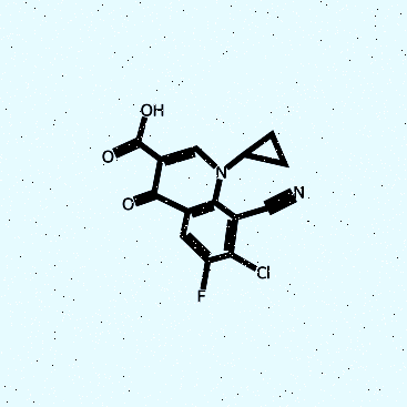 N#Cc1c(Cl)c(F)cc2c(=O)c(C(=O)O)cn(C3CC3)c12